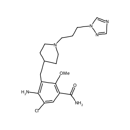 COc1c(C(N)=O)cc(Cl)c(N)c1CC1CCN(CCCn2cncn2)CC1